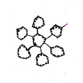 Ic1ccc(-c2c(-c3ccccc3)c(-c3ccccc3)c(-c3ccccc3)c(-c3ccccc3)c2-c2ccccc2)cc1